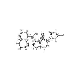 Cc1csc(-n2ccc3nnn(C(C)c4cccc5cccnc45)c3c2=O)c1